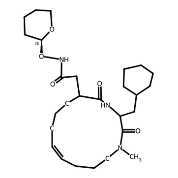 CN1CCCC=CCCCC(CC(=O)NO[C@H]2CCCCO2)C(=O)NC(CC2CCCCC2)C1=O